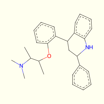 CC(Oc1ccccc1C1CC(c2ccccc2)Nc2ccccc21)C(C)N(C)C